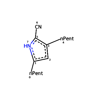 CCCCCc1cc(CCCCC)c(C#N)[nH]1